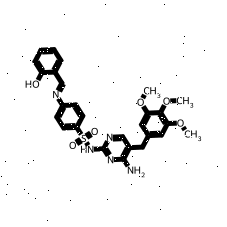 COc1cc(Cc2cnc(NS(=O)(=O)c3ccc(N=Cc4ccccc4O)cc3)nc2N)cc(OC)c1OC